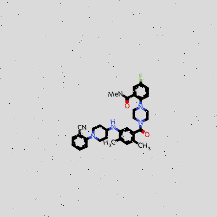 CNC(=O)c1cc(F)ccc1N1CCN(C(=O)c2cc(NC3CCN(c4ccccc4C#N)CC3)c(C)cc2C)CC1